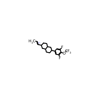 C/C=C/C1CCC2CC(c3cc(F)c(OC(F)(F)F)c(F)c3)CCC2C1